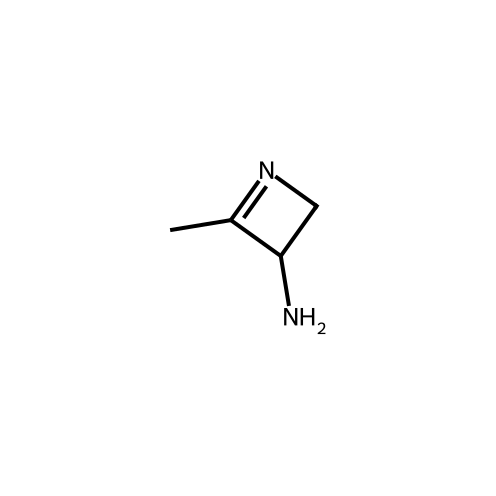 CC1=NCC1N